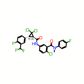 CN(C(=O)c1cc(NC(=O)[C@H]2[C@H](c3ccc(F)c(C(F)F)c3)C2(Cl)Cl)ccc1Cl)c1ccc(F)cc1